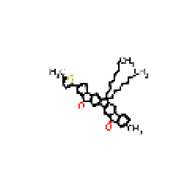 CCCCCCCCC1(CCCCCCCC)c2cc3c(cc2-c2cc4c(cc21)-c1ccc(-c2ccc(C)s2)cc1C4=O)C(=O)c1cc(C)ccc1-3